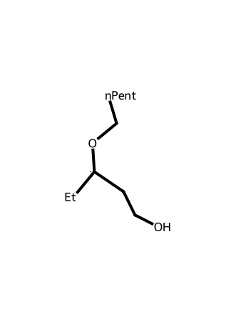 CCCCCCO[C](CC)CCO